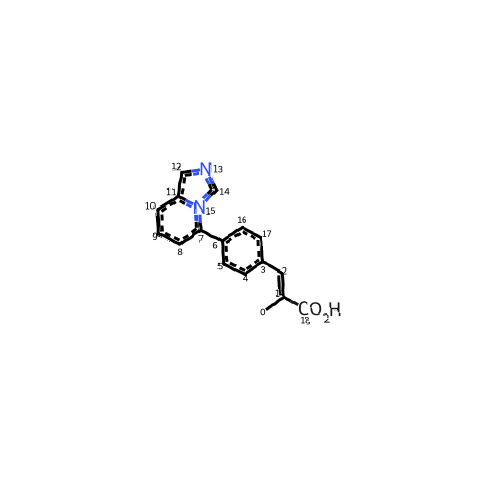 CC(=Cc1ccc(-c2cccc3cncn23)cc1)C(=O)O